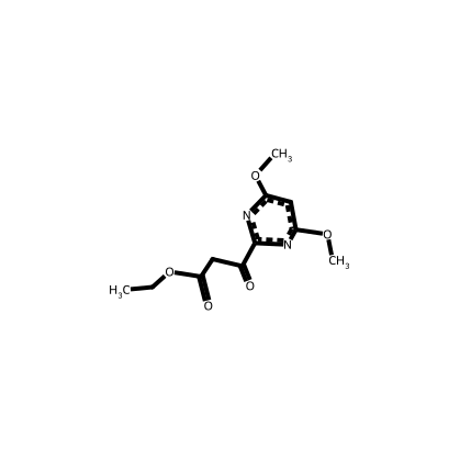 CCOC(=O)CC(=O)c1nc(OC)cc(OC)n1